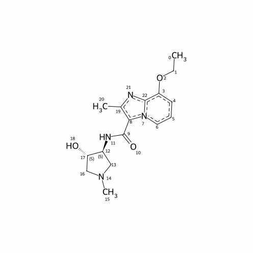 CCOc1cccn2c(C(=O)N[C@H]3CN(C)C[C@@H]3O)c(C)nc12